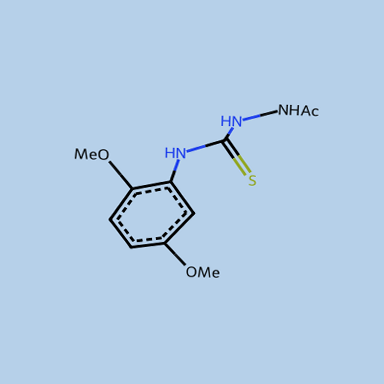 COc1ccc(OC)c(NC(=S)NNC(C)=O)c1